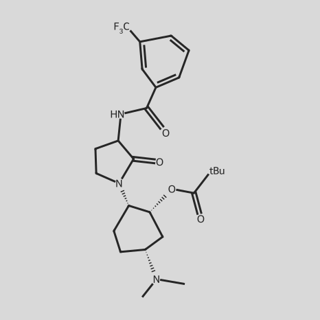 CN(C)[C@@H]1CC[C@H](N2CCC(NC(=O)c3cccc(C(F)(F)F)c3)C2=O)[C@H](OC(=O)C(C)(C)C)C1